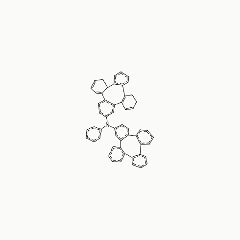 C1=CCC2C(=C1)c1ccc(N(c3ccccc3)c3ccc4c(c3)-c3ccccc3-c3ccccc3-c3ccccc3-4)cc1C1=C(CCC=C1)c1ccccc12